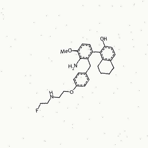 COc1ccc(-c2c(O)ccc3c2CCCC3)c(Cc2ccc(OCCNCCF)cc2)c1N